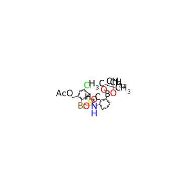 CC(=O)OCc1cc(Cl)cc(S(=O)(=O)Nc2cccc(B3OC(C)(C)C(C)(C)O3)c2C)c1Br